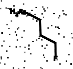 FCCC[AsH2]